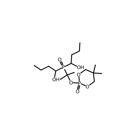 CCCC(O)P(=O)(C(O)CCC)C(C)(C)OP1(=O)OCC(C)(C)CO1